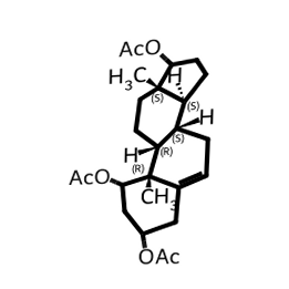 CC(=O)OC1CC2=CC[C@@H]3[C@@H](CC[C@]4(C)C(OC(C)=O)CC[C@@H]34)[C@@]2(C)C(OC(C)=O)C1